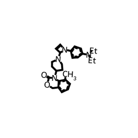 CCN(CC)c1ccc(N2C=CC2N2CCC(N3C(=O)OCc4cccc(C)c43)CC2)cc1